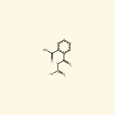 O=C(O)c1ccccc1C(=O)C[N+](=O)[O-]